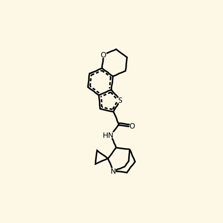 O=C(NC1C2CCN(CC2)C12CC2)c1cc2ccc3c(c2s1)CCCO3